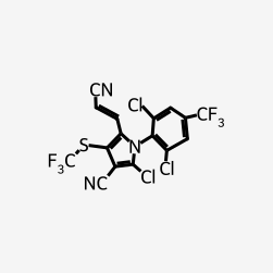 N#CC=Cc1c(SC(F)(F)F)c(C#N)c(Cl)n1-c1c(Cl)cc(C(F)(F)F)cc1Cl